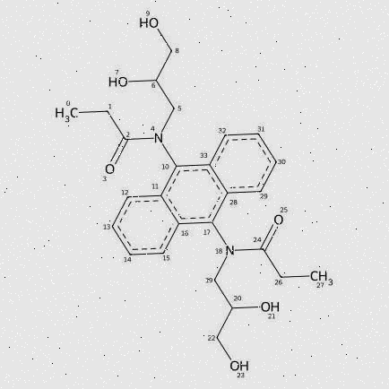 CCC(=O)N(CC(O)CO)c1c2ccccc2c(N(CC(O)CO)C(=O)CC)c2ccccc12